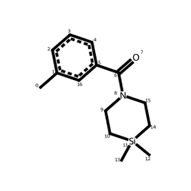 Cc1cccc(C(=O)N2CC[Si](C)(C)CC2)c1